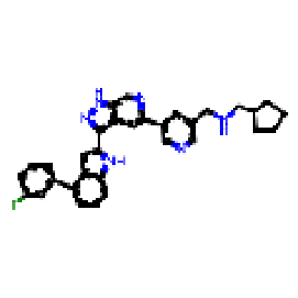 Fc1cccc(-c2cccc3[nH]c(-c4n[nH]c5cnc(-c6cncc(CNCC7CCCC7)c6)cc45)cc23)c1